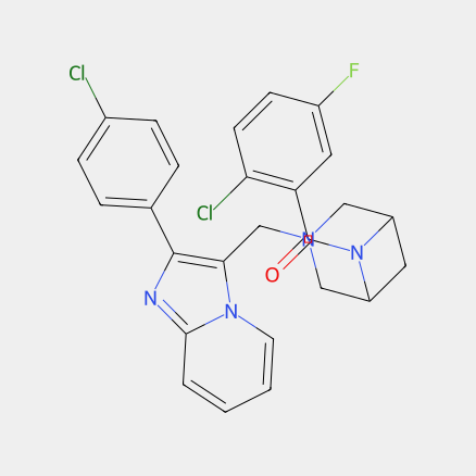 O=C(c1cc(F)ccc1Cl)N1C2CC1CN(Cc1c(-c3ccc(Cl)cc3)nc3ccccn13)C2